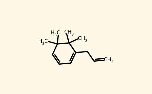 C=CCC1=CC=CC(C)(C)C1(C)C